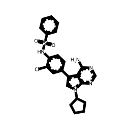 Nc1ncnc2c1c(-c1ccc(NS(=O)(=O)c3ccccc3)c(Cl)c1)cn2C1CCCC1